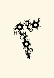 Cc1ccc(N2CCN(c3cccc(F)c3)C2C=O)cc1Nc1ncc(-c2ccc(C(=O)N=[N+]=[N-])cc2)o1